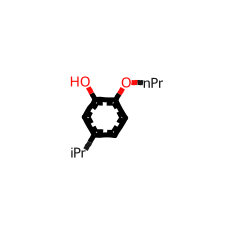 CCCOc1ccc(C(C)C)cc1O